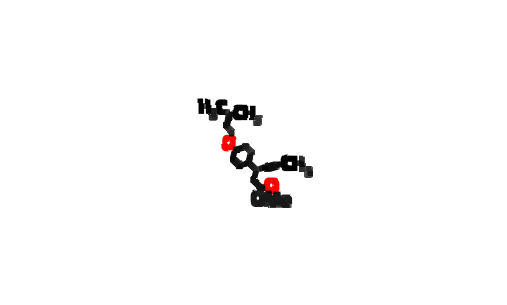 CC#C[C@@H](CC(=O)OC)c1ccc(OCC=C(C)C)cc1